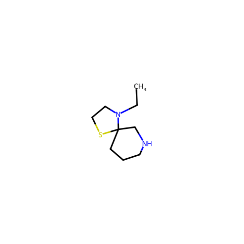 CCN1CCSC12CCCNC2